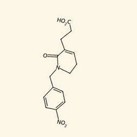 O=C(O)CCC1=CCCN(Cc2ccc([N+](=O)[O-])cc2)C1=O